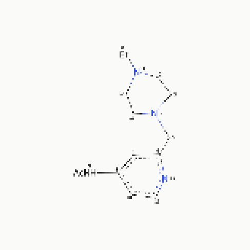 CCN1CCN(Cc2cc(NC(C)=O)ccn2)CC1